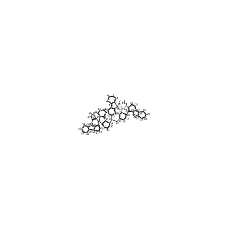 CC1(C)c2ccccc2-c2ccc(C(Cc3ccc(-c4cccc5c4sc4ccccc45)cc3)c3cccc4c3-c3ccccc3C43C4=C(CCC=C4)n4c5ccccc5c5cccc3c54)cc21